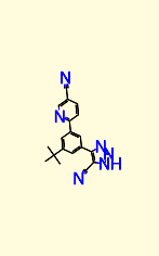 CC(C)(C)c1cc(-c2ccc(C#N)cn2)cc(-c2nn[nH]c2C#N)c1